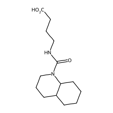 O=C(O)CCCNC(=O)N1CCCC2CCCCC21